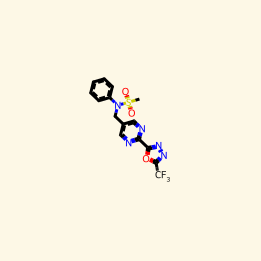 CS(=O)(=O)N(Cc1cnc(-c2nnc(C(F)(F)F)o2)nc1)c1ccccc1